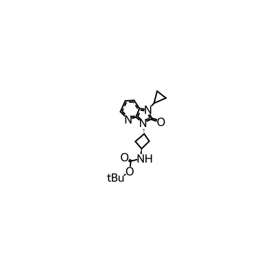 CC(C)(C)OC(=O)N[C@H]1C[C@H](n2c(=O)n(C3CC3)c3cccnc32)C1